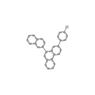 Clc1ccc(-c2ccc3c(c2)c(-c2ccc4ccccc4c2)cc2ccccc23)cc1